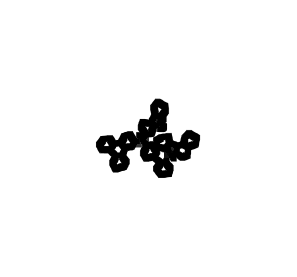 C1=CC2C(c3ccccc31)c1ccccc1N2c1ccccc1-c1ccc(N(c2ccc3c(c2)sc2ccccc23)c2ccc3c4ccccc4c4ccccc4c3c2)cc1